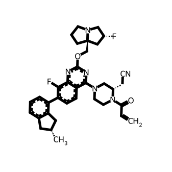 C=CC(=O)N1CCN(c2nc(OC[C@@]34CCCN3C[C@H](F)C4)nc3c(F)c(-c4cccc5c4C[C@H](C)C5)ccc23)C[C@@H]1CC#N